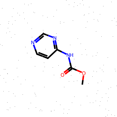 COC(=O)Nc1ccn[c]n1